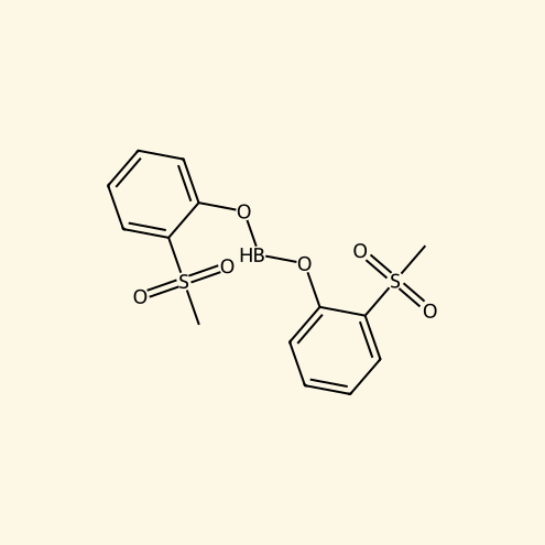 CS(=O)(=O)c1ccccc1OBOc1ccccc1S(C)(=O)=O